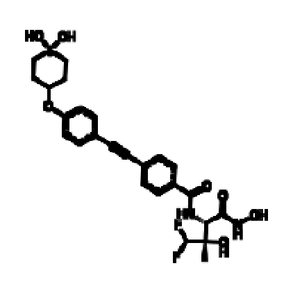 C[C@@](O)(C(F)F)[C@H](NC(=O)c1ccc(C#Cc2ccc(OC3CCS(O)(O)CC3)cc2)cc1)C(=O)NO